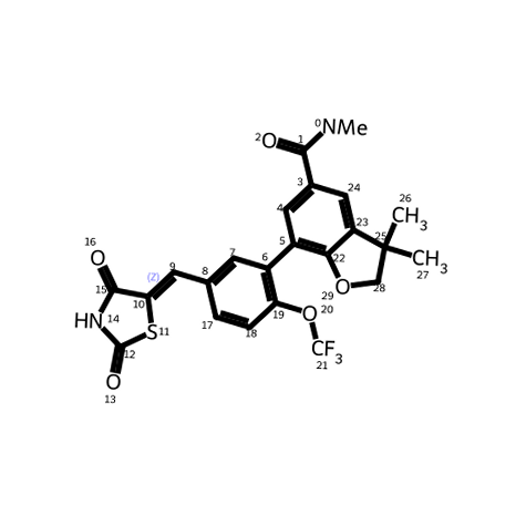 CNC(=O)c1cc(-c2cc(/C=C3\SC(=O)NC3=O)ccc2OC(F)(F)F)c2c(c1)C(C)(C)CO2